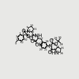 Cc1ccc(S(=O)(=O)N2CCC[C@H]2C(=O)N[C@@H](Cc2cccc(N(C(=O)OC(C)(C)C)C(=O)C3CCCN3)c2)C(=O)O)cc1